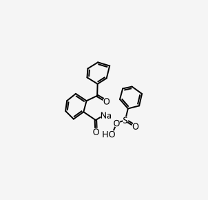 O=S(OO)c1ccccc1.O=[C]([Na])c1ccccc1C(=O)c1ccccc1